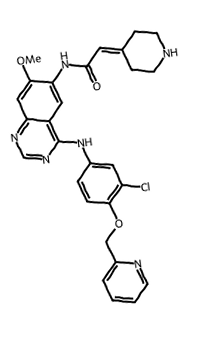 COc1cc2ncnc(Nc3ccc(OCc4ccccn4)c(Cl)c3)c2cc1NC(=O)C=C1CCNCC1